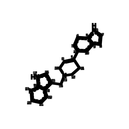 C1=C(c2ccc3[nH]ccc3c2)CCN(Cc2c[nH]c3ncccc23)C1